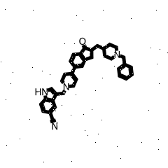 N#Cc1ccc2[nH]cc(CN3CC=C(c4ccc5c(c4)CC(CC4CCN(Cc6ccccc6)CC4)C5=O)CC3)c2c1